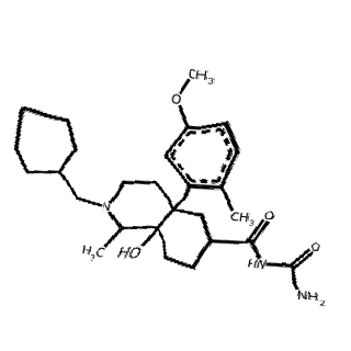 COc1ccc(C)c(C23CCN(CC4CCCCC4)C(C)C2(O)CCC(C(=O)NC(N)=O)C3)c1